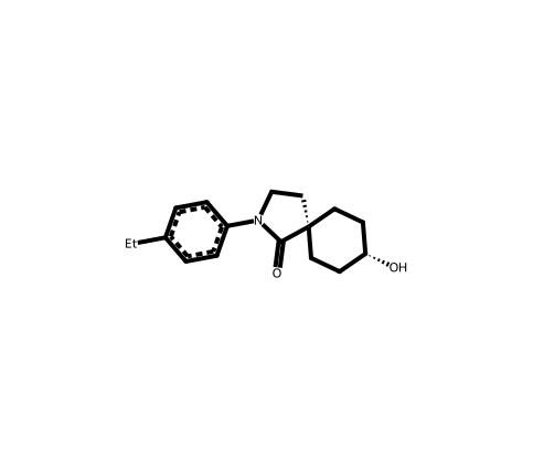 CCc1ccc(N2CC[C@]3(CC[C@@H](O)CC3)C2=O)cc1